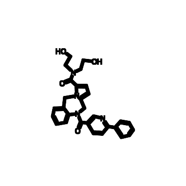 O=C(c1ccc2n1Cc1ccccc1N(C(=O)c1ccc(-c3ccccc3)nc1)C2)N(CCO)CCO